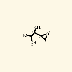 CC(C(O)O)C1CO1